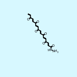 C=CC(=O)C=CC(=O)C=CC(=O)C=CC(=O)C=CC(=O)C=CC(=O)NN